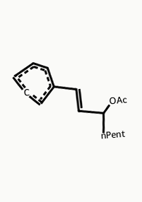 CCCCCC(C=Cc1ccccc1)OC(C)=O